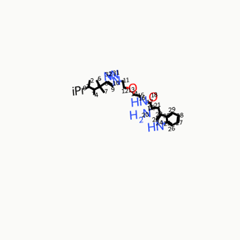 CC(C)C(C)C(C)C(C)(C)c1cn(CCOCCNC(=O)[C@@H](N)Cc2c[nH]c3ccccc23)nn1